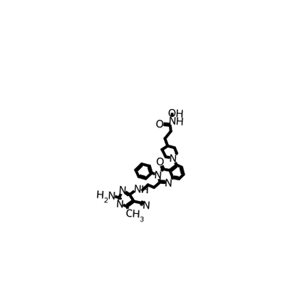 Cc1nc(N)nc(NCCCc2nc3cccc(N4CCC(CCC(=O)NO)CC4)c3c(=O)n2-c2ccccc2)c1C#N